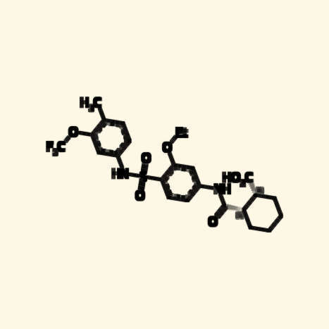 CCOc1cc(NC(=O)[C@H]2CCCC[C@H]2C(=O)O)ccc1S(=O)(=O)Nc1ccc(C)c(OC(F)(F)F)c1